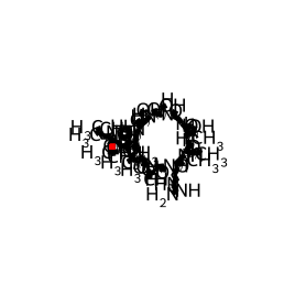 CC[C@H](C)[C@@H]1NC(=O)[C@@H](CCCNC(=N)N)NC(=O)[C@H](CC(C)C)NC(=O)[C@H]([C@H](O)C(C)C)NC(=O)[C@@H](NC(=O)[C@H](CC(C)(C)C)NC(=O)[C@H](N)CC(C)(C)C)[C@@H](c2ccccc2)NC(=O)[C@H](CO)NC(=O)[C@H](CO)NC(=O)CNC(=O)[C@H]([C@H](C)O)NC1=O